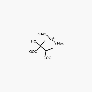 CC(C(=O)[O-])C(C)(O)C(=O)[O-].CCCCC[CH2][Sn+2][CH2]CCCCC